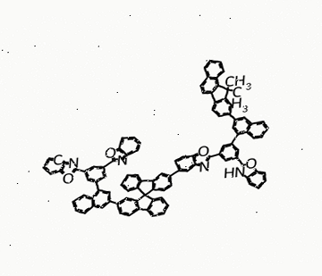 CC1(C)c2cc(-c3cc(-c4cc(-c5nc6cc(-c7ccc8c(c7)-c7ccccc7C87c8ccccc8-c8ccc(-c9cc(-c%10cc(-c%11nc%12ccccc%12o%11)cc(-c%11nc%12ccccc%12o%11)c%10)c%10ccccc%10c9)cc87)ccc6o5)cc(C5Nc6ccccc6O5)c4)c4ccccc4c3)ccc2-c2ccc3ccccc3c21